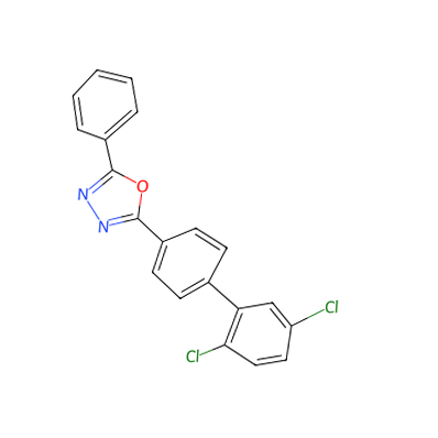 Clc1ccc(Cl)c(-c2ccc(-c3nnc(-c4ccccc4)o3)cc2)c1